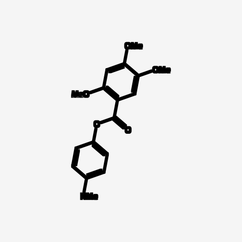 CNc1ccc(OC(=O)c2cc(OC)c(OC)cc2OC)cc1